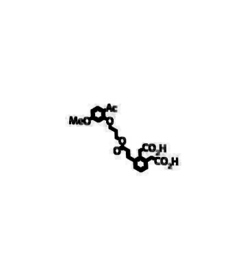 COc1ccc(C(C)=O)c(OCCCOC(=O)C=Cc2cccc(CC(=O)O)c2CC(=O)O)c1